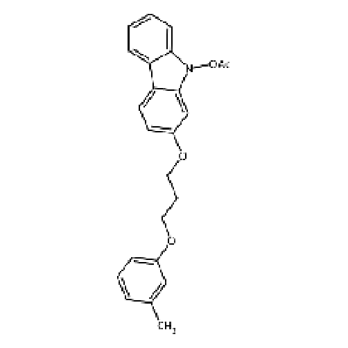 CC(=O)On1c2ccccc2c2ccc(OCCCOc3cccc(C)c3)cc21